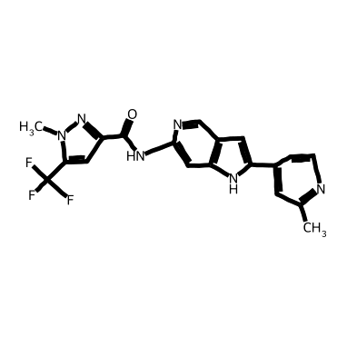 Cc1cc(-c2cc3cnc(NC(=O)c4cc(C(F)(F)F)n(C)n4)cc3[nH]2)ccn1